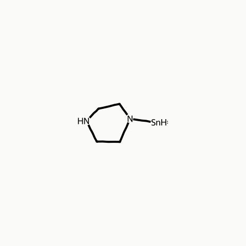 [SnH][N]1CCNCC1